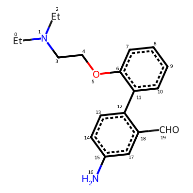 CCN(CC)CCOc1ccccc1-c1ccc(N)cc1C=O